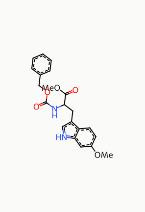 COC(=O)C(Cc1c[nH]c2cc(OC)ccc12)NC(=O)OCc1ccccc1